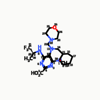 C=Nc1nc(C(=O)O)nc(N[C@H](C)C(F)(F)F)c1N(CC1CCCCC1)CN1CCOCC1